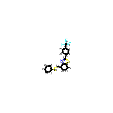 FC(F)(F)c1ccc(-c2nc3c(CSc4ccccc4)cccc3s2)cc1